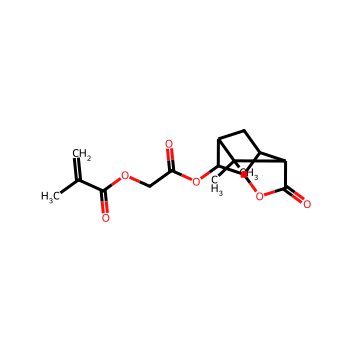 C=C(C)C(=O)OCC(=O)OC1C2OC(=O)C3C2CC1C3(C)C